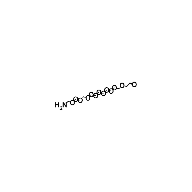 NCOOOCOOOOOOOOCOCC=O